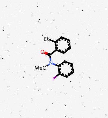 CCc1ccccc1C(=O)N(OC)c1ccccc1I